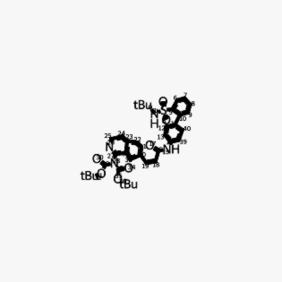 CC(C)(C)NS(=O)(=O)c1ccccc1-c1ccc(NC(=O)/C=C\c2ccc3ccnc(N(C(=O)OC(C)(C)C)C(=O)OC(C)(C)C)c3c2)cc1